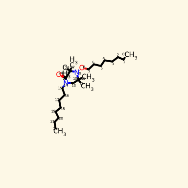 CCCCCCCCON1C(C)(C)CN(CCCCCCCC)C(=O)C1(C)C